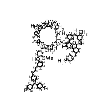 C=CC[C@@H]1/C=C(\C)C[C@H](C)C[C@H](OC)[C@H]2O[C@@](O)(C(=O)C(=O)N3CCCC[C@H]3C(=O)O[C@H](/C(C)=C/[C@@H]3CC[C@@H](O)[C@H](OC)C3)[C@H](C)[C@@H](O)CC1=O)[C@H](C)C[C@@H]2OC.Cc1ccc(NC(=O)c2ccc(CN3CCN(C)CC3)cc2)cc1Nc1nccc(-c2cccnc2)n1.Fc1ccc(C(c2ccc(F)cc2)N2CCN(C/C=C/c3ccccc3)CC2)cc1